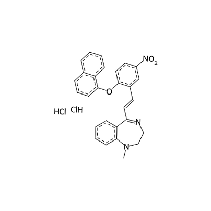 CN1CCN=C(C=Cc2cc([N+](=O)[O-])ccc2Oc2cccc3ccccc23)c2ccccc21.Cl.Cl